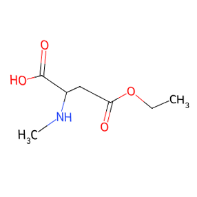 CCOC(=O)CC(NC)C(=O)O